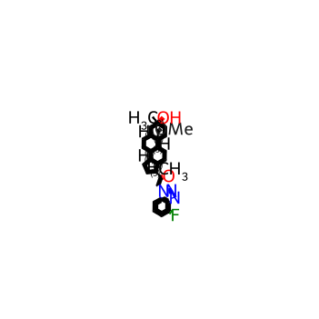 COC[C@]12CC[C@@](C)(O)C[C@H]1CC[C@H]1[C@H]3CC[C@H](C(=O)Cn4nnc5c(F)cccc54)[C@@]3(C)CC[C@@H]12